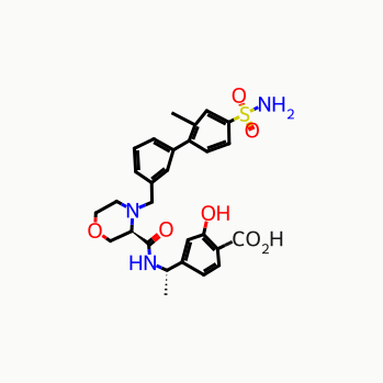 Cc1cc(S(N)(=O)=O)ccc1-c1cccc(CN2CCOC[C@@H]2C(=O)N[C@@H](C)c2ccc(C(=O)O)c(O)c2)c1